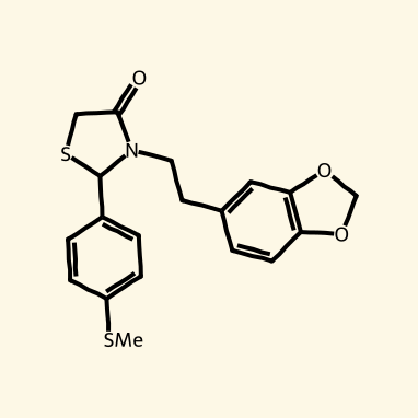 CSc1ccc(C2SCC(=O)N2CCc2ccc3c(c2)OCO3)cc1